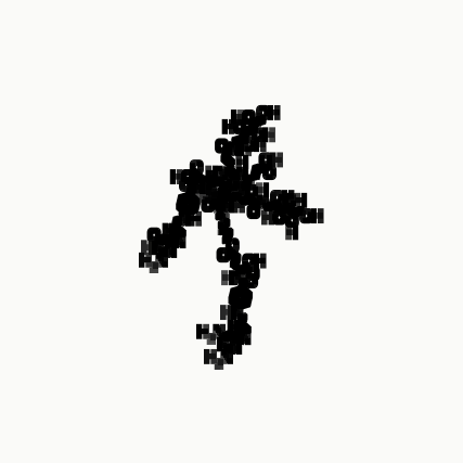 CNC(=O)[C@H](CSSCCOC(=O)CC[C@H](NC(=O)c1ccc(NCc2cnc3nc(N)nc(N)c3n2)cc1)C(=O)O)NC(=O)[C@H](CCC(=O)NC[C@H](O)[C@@H](O)[C@H](O)[C@H](O)CO)NC(=O)[C@H](CCC(=O)O)NC(=O)[C@H](CCC(=O)NC[C@H](O)[C@@H](O)[C@H](O)[C@H](O)CO)NC(=O)CC[C@H](NC(=O)c1ccc(NCc2cnc3nc(N)[nH]c(=O)c3n2)cc1)C(=O)O